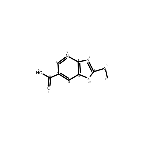 CSc1nc2ncc(C(=O)O)cc2s1